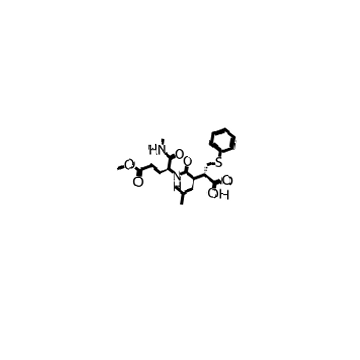 CNC(=O)[C@H](CCC(=O)OC)NC(=O)[C@H](CC(C)C)[C@H](CSc1ccccc1)C(=O)O